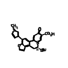 Cn1ccc(-c2cc3c(c4ccoc24)C[C@@H](C(C)(C)C)n2cc(C(=O)O)c(=O)cc2-3)c1